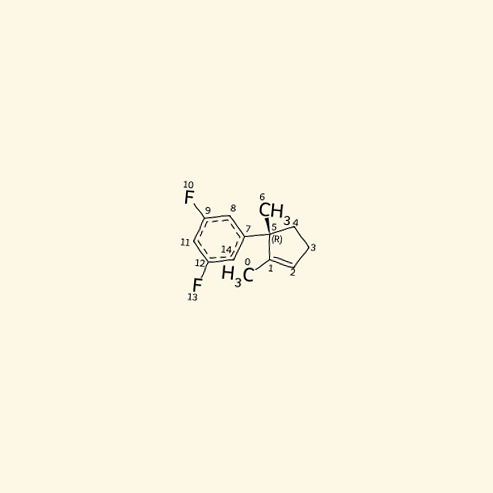 CC1=CCC[C@@]1(C)c1cc(F)cc(F)c1